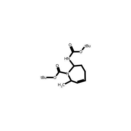 CC1C=CCCC(NC(=O)OC(C)(C)C)N1C(=O)OC(C)(C)C